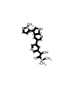 CN(C)C(=O)C(O)c1cncc(-c2cnc3[nH]cc(-c4ccnn4C)c3c2)c1